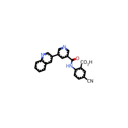 N#Cc1ccc(NC(=O)c2cncc(-c3cnc4ccccc4c3)c2)c(C(=O)O)c1